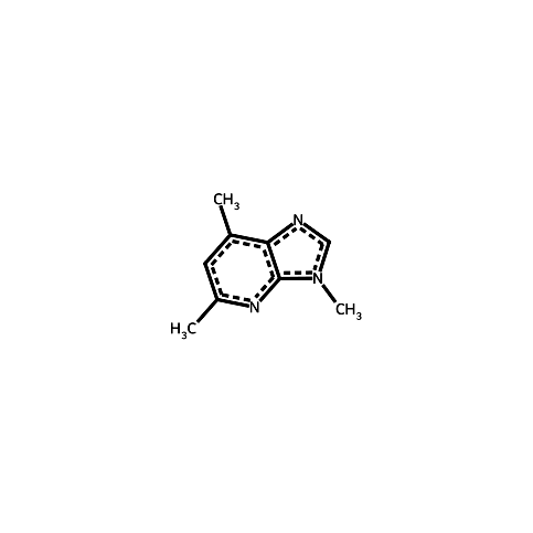 Cc1cc(C)c2ncn(C)c2n1